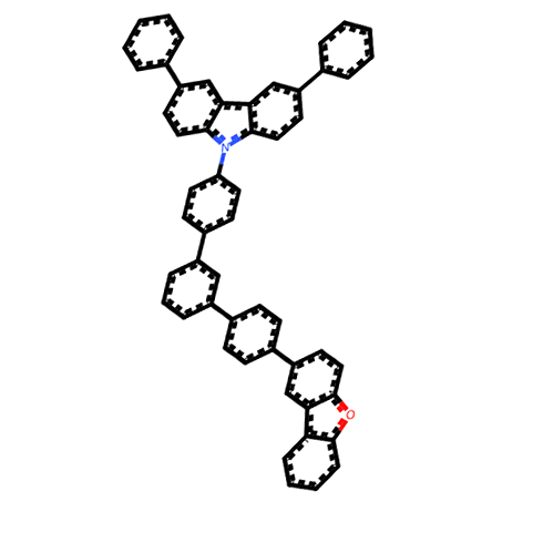 c1ccc(-c2ccc3c(c2)c2cc(-c4ccccc4)ccc2n3-c2ccc(-c3cccc(-c4ccc(-c5ccc6oc7ccccc7c6c5)cc4)c3)cc2)cc1